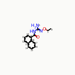 CCON=C(N)NC(=O)c1cccc2ccccc12